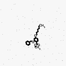 CCCCCCCOc1ccc(C(=O)OC)c(OCc2ccccc2)c1